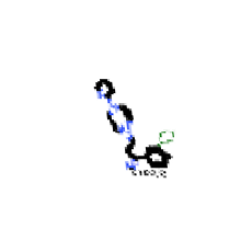 CO/N=C(/CCN1CCN(c2ccccn2)CC1)c1cccc(Cl)c1